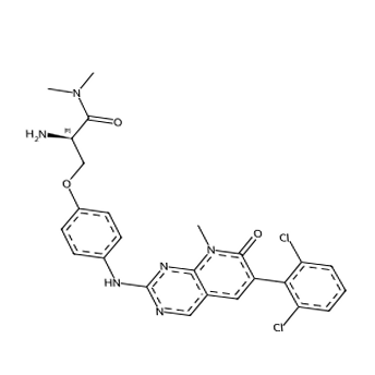 CN(C)C(=O)[C@H](N)COc1ccc(Nc2ncc3cc(-c4c(Cl)cccc4Cl)c(=O)n(C)c3n2)cc1